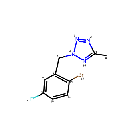 Cc1nnn(Cc2cc(F)ccc2Br)n1